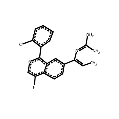 C/C=C(\N=C(N)N)c1ccc2c(F)cnc(-c3ccccc3Cl)c2c1